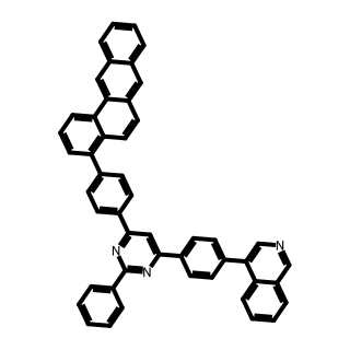 c1ccc(-c2nc(-c3ccc(-c4cncc5ccccc45)cc3)cc(-c3ccc(-c4cccc5c4ccc4cc6ccccc6cc45)cc3)n2)cc1